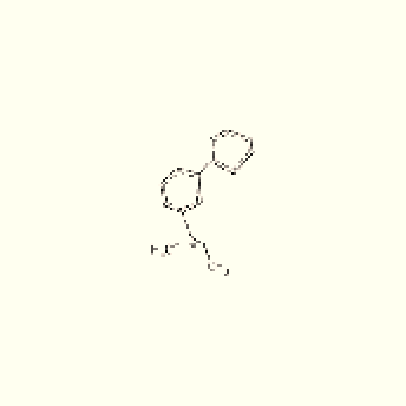 CC[C@H](C)c1cccc(-c2ccccc2)c1